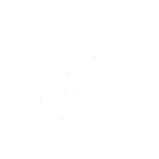 CC(C)(C)N(C(=O)O)C1(Cc2cc(Br)ccc2Cl)CC1